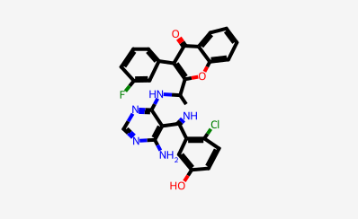 CC(Nc1ncnc(N)c1C(=N)c1cc(O)ccc1Cl)c1oc2ccccc2c(=O)c1-c1cccc(F)c1